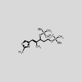 C/C(=C\c1csc(C)n1)C(CCO[Si](C)(C)C(C)(C)C)O[Si](C)(C)C(C)(C)C